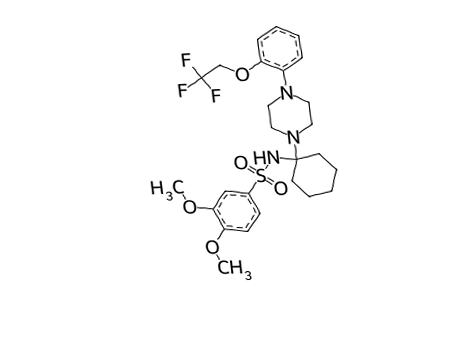 COc1ccc(S(=O)(=O)NC2(N3CCN(c4ccccc4OCC(F)(F)F)CC3)CCCCC2)cc1OC